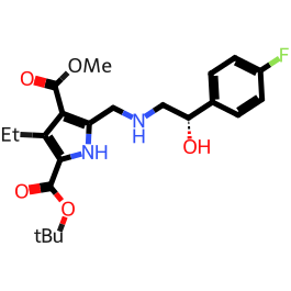 CCc1c(C(=O)OC(C)(C)C)[nH]c(CNC[C@@H](O)c2ccc(F)cc2)c1C(=O)OC